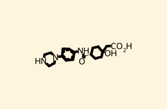 O=C(O)C[C@]1(O)CC[C@H](C(=O)Nc2ccc(N3CCNCC3)cc2)CC1